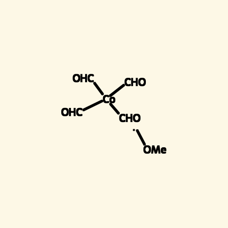 O=[CH][Co]([CH]=O)([CH]=O)[CH]=O.[CH2]OC